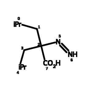 CC(C)CC(CC(C)C)(N=N)C(=O)O